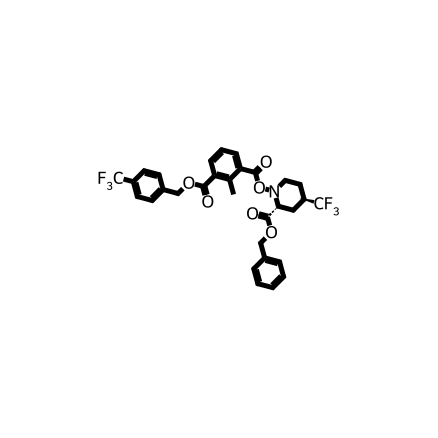 Cc1c(C(=O)OCc2ccc(C(F)(F)F)cc2)cccc1C(=O)ON1CC[C@@H](C(F)(F)F)C[C@@H]1C(=O)OCc1ccccc1